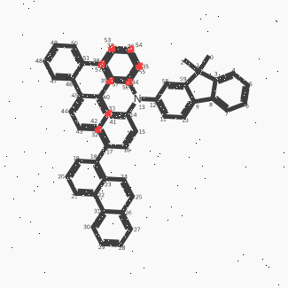 CC1(C)c2ccccc2-c2ccc(N(c3ccc(-c4cccc5c4ccc4ccccc45)cc3)c3ccccc3-c3ccccc3-c3ccccc3-c3ccccc3)cc21